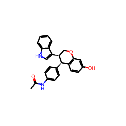 CC(=O)Nc1ccc([C@@H]2c3ccc(O)cc3OC[C@@H]2c2c[nH]c3ccccc23)cc1